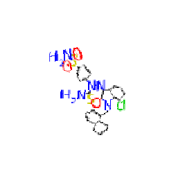 NC(=S)N(/N=C1\C(=O)N(Cc2cccc3ccccc23)c2c(Cl)cccc21)c1ccc(S(N)(=O)=O)cc1